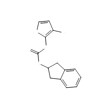 Cc1ccsc1OC(=O)NC1Cc2ccccc2C1